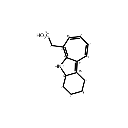 O=C(O)CC1=C2NC3CCCCC3=C2C=CC=C1